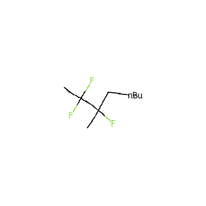 CCCCCC(C)(F)C(C)(F)F